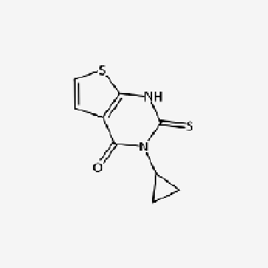 O=c1c2ccsc2[nH]c(=S)n1C1CC1